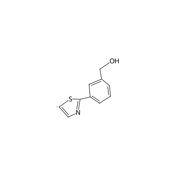 OCc1cccc(-c2nc[c]s2)c1